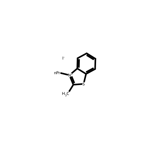 CCC[n+]1c(C)sc2ccccc21.[I-]